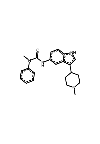 CN1CCC(c2c[nH]c3ccc(NC(=O)N(C)c4ccccc4)cc23)CC1